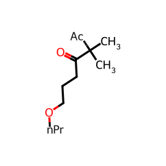 CCCOCCCC(=O)C(C)(C)C(C)=O